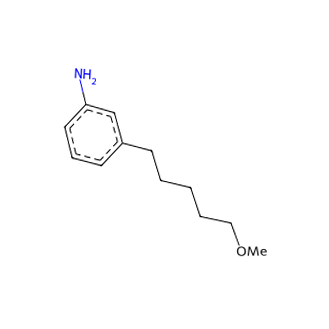 COCCCCCc1cccc(N)c1